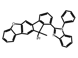 CC(C)C1(C)c2cc3c(cc2-c2cccc(-c4nc5ccccc5n4-c4ccccc4)c21)oc1ccccc13